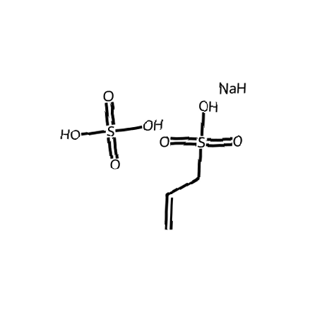 C=CCS(=O)(=O)O.O=S(=O)(O)O.[NaH]